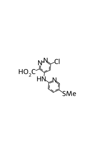 CSc1ccc(Nc2cc(Cl)nnc2C(=O)O)nc1